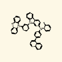 CC1C=CC=CC1N(c1ccc(-c2cccc3ccccc23)cc1)c1ccc2c3ccccc3n(C3=CCCC(N4c5ccccc5Sc5ccccc54)=C3)c2c1